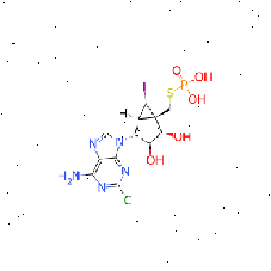 Nc1nc(Cl)nc2c1ncn2[C@H]1[C@H](O)[C@H](O)[C@@]2(CSP(=O)(O)O)C(I)[C@H]12